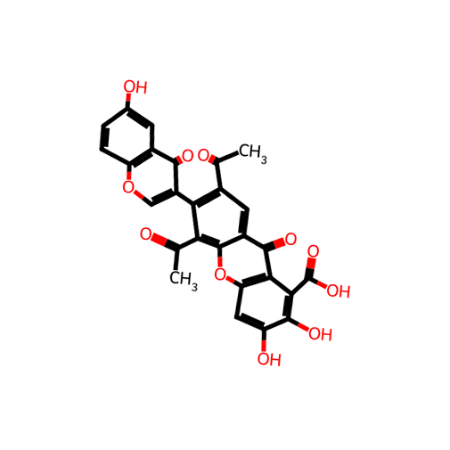 CC(=O)c1cc2c(=O)c3c(C(=O)O)c(O)c(O)cc3oc2c(C(C)=O)c1-c1coc2ccc(O)cc2c1=O